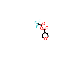 O=C(OC(=O)C(F)(F)F)C1CCOCC1